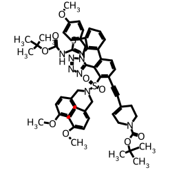 COc1ccc(CN(Cc2ccc(OC)cc2)S(=O)(=O)c2c(C#CC3=CCN(C(=O)OC(C)(C)C)CC3)ccc(-c3cccc4sc(NC(=O)OC(C)(C)C)nc34)c2-c2nnnn2Cc2ccc(OC)cc2)cc1